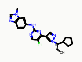 Cn1cnc2ccc(Nc3ncc(Cl)c(-c4cnn([C@H](CC#N)C5CCCC5)c4)n3)cc21